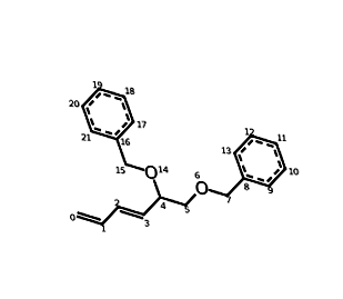 C=CC=CC(COCc1ccccc1)OCc1ccccc1